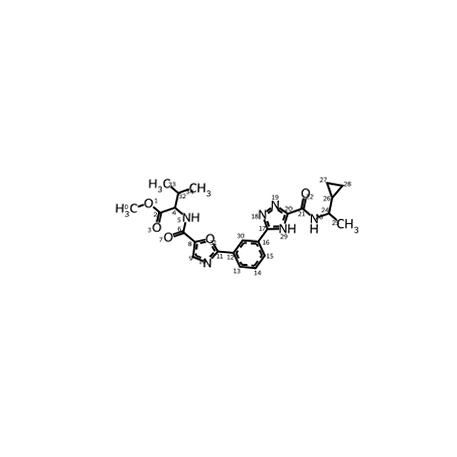 COC(=O)C(NC(=O)c1cnc(-c2cccc(-c3nnc(C(=O)NC(C)C4CC4)[nH]3)c2)o1)C(C)C